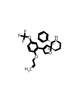 C=CCOc1ccc(OC(F)(F)F)cc1C1=C[C@@]2(CCCN[C@H]2c2ccccc2)OC1